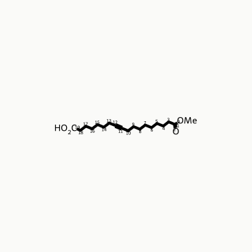 COC(=O)CCCCCCCCC#CCCCCCCC(=O)O